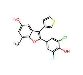 Cc1cc(O)cc2c(-c3ccsc3)c(-c3cc(F)c(O)c(Cl)c3)oc12